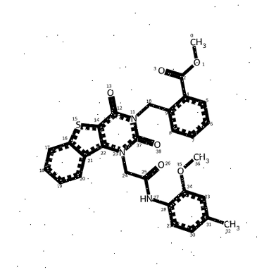 COC(=O)c1ccccc1Cn1c(=O)c2sc3ccccc3c2n(CC(=O)Nc2ccc(C)cc2OC)c1=O